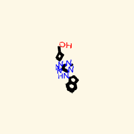 OC=C1CC(n2nnc3c(NC4CCc5ccccc54)ncnc32)C1